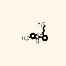 CCCCCc1ccccc1C1Nc2ccc(C)cc2N1